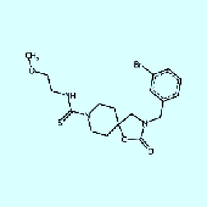 COCCNC(=S)N1CCC2(CC1)CN(Cc1cccc(Br)c1)C(=O)O2